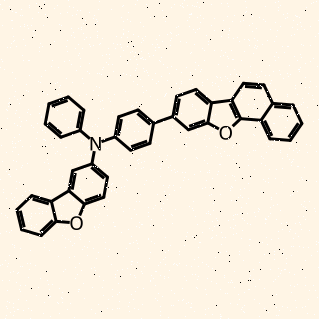 c1ccc(N(c2ccc(-c3ccc4c(c3)oc3c5ccccc5ccc43)cc2)c2ccc3oc4ccccc4c3c2)cc1